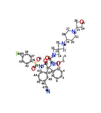 CCOc1ccccc1[C@@]1(NC(=O)N2CC3(C2)CN(C2CCN(C4COC4)CC2)C3)C(=O)N(S(=O)(=O)c2ccc(F)cc2)c2ccc(C#N)cc21